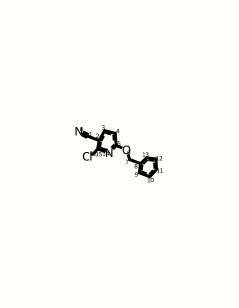 N#Cc1ccc(OCc2ccccc2)nc1Cl